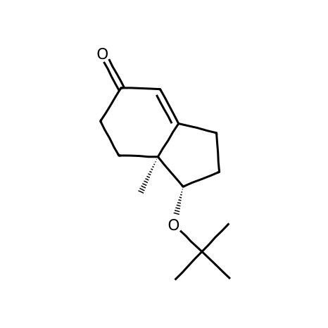 CC(C)(C)O[C@H]1CCC2=CC(=O)CC[C@@]21C